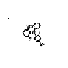 Oc1ccccc1N(c1ccccc1O)c1c(F)cc(Br)cc1F